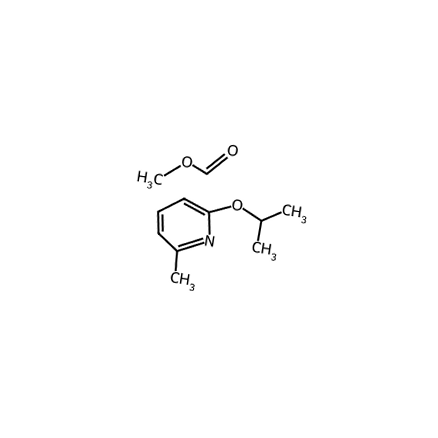 COC=O.Cc1cccc(OC(C)C)n1